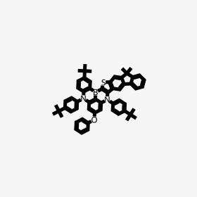 CC(C)(C)c1ccc(N2c3ccc(C(C)(C)C)cc3B3c4sc5cc6c(cc5c4N(c4ccc(C(C)(C)C)cc4)c4cc(Oc5ccccc5)cc2c43)-c2ccccc2C6(C)C)cc1